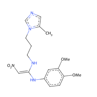 COc1ccc(NC(=C[N+](=O)[O-])NCCCn2cncc2C)cc1OC